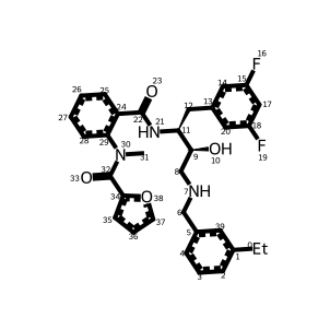 CCc1cccc(CNC[C@H](O)[C@H](Cc2cc(F)cc(F)c2)NC(=O)c2ccccc2N(C)C(=O)c2ccco2)c1